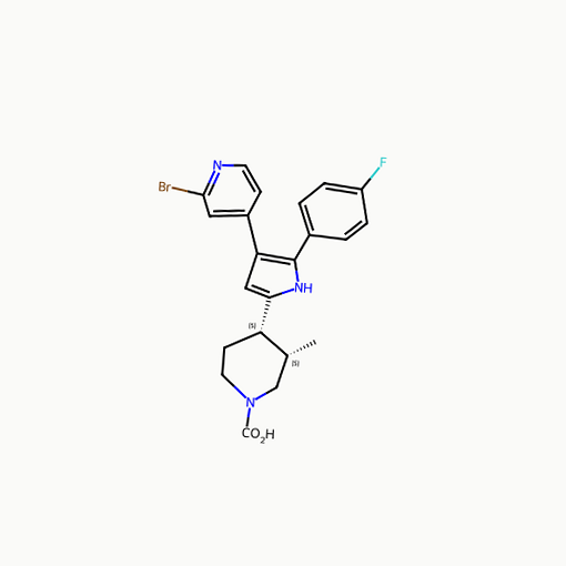 C[C@@H]1CN(C(=O)O)CC[C@@H]1c1cc(-c2ccnc(Br)c2)c(-c2ccc(F)cc2)[nH]1